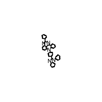 c1ccc(-c2nc3c4c(cccc4n2)N(c2ccc(-c4nc5ccccc5n4-c4ccccc4)cc2)c2ccccc2-3)cc1